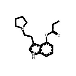 CCC(=O)Oc1cccc2[nH]cc(CCN3CCCC3)c12